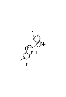 Cc1cc(Cl)c(NC(=O)c2cn(C)c3ccc(F)cc23)cc1F